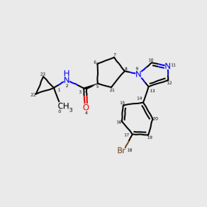 CC1(NC(=O)[C@H]2CCC(n3cncc3-c3ccc(Br)cc3)C2)CC1